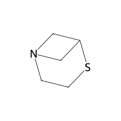 C1CN2CC(C2)S1